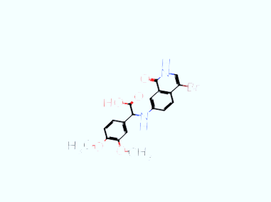 COc1ccc(C(Nc2ccc3c(Br)c[nH]c(=O)c3c2)C(=O)O)cc1OC